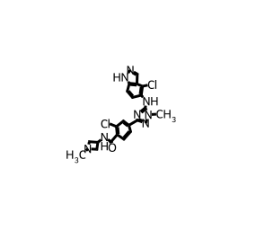 CN1CC(NC(=O)c2ccc(-c3nc(Nc4ccc5[nH]ncc5c4Cl)n(C)n3)cc2Cl)C1